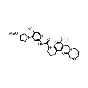 CO[C@H]1CCN(c2cc(NC(=O)N3CCCc4cc(CN5CCCOCC5=O)c(C=O)nc43)ncc2C#N)C1